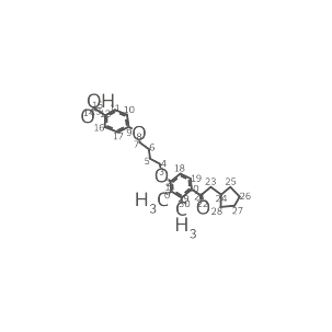 Cc1c(OCCCCOc2ccc(C(=O)O)cc2)ccc(C(=O)CC2CCCC2)c1C